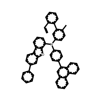 C=Cc1ccccc1-c1cc(N(c2ccc(-c3cc4ccccc4c4ccccc34)cc2)c2cccc3c2oc2cc(-c4ccccc4)ccc23)ccc1C